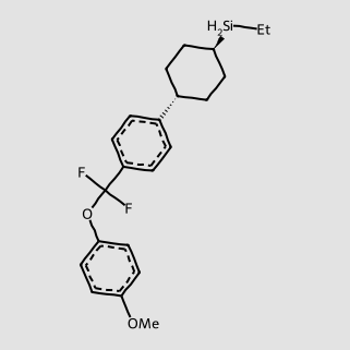 CC[SiH2][C@H]1CC[C@H](c2ccc(C(F)(F)Oc3ccc(OC)cc3)cc2)CC1